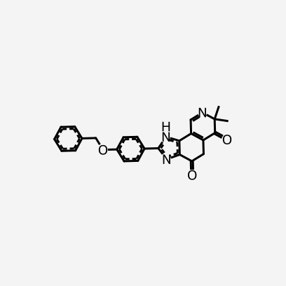 CC1(C)N=CC2=C(CC(=O)c3nc(-c4ccc(OCc5ccccc5)cc4)[nH]c32)C1=O